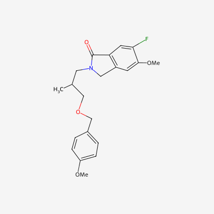 COc1ccc(COCC(C)CN2Cc3cc(OC)c(F)cc3C2=O)cc1